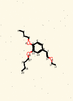 CCCCOc1ccc(C=COCC)cc1OCCCC